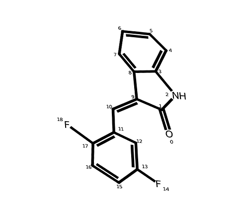 O=C1Nc2ccccc2C1=Cc1cc(F)ccc1F